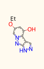 CCOc1cc(O)c2c3cn[nH]c3nn2c1